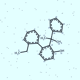 CCc1ccccc1-c1cccc(O)c1C(C)(C)c1ccccc1